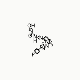 CCc1nc2ccc(N3CC(NCC(=O)N4CC(O)C4)C3)cn2c1N(C)c1nc(-c2ccc(F)cc2)cs1